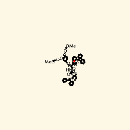 COCCOCOc1ccc(CON=C(C(=O)N[C@@H]2C(=O)N3C(C(=O)OC(c4ccccc4)c4ccccc4)=C(CI)CS[C@@H]23)c2csc(NC(c3ccccc3)(c3ccccc3)c3ccccc3)n2)cc1OCOCCOC